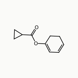 O=C(OC1=CC=CCC1)C1CC1